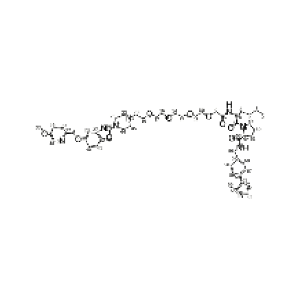 CCCC[C@H](NC(=O)COCCOCCOCCOCCN1CCN(c2nc3cc(OCc4ccc(OC)cn4)ccc3o2)CC1)C(=O)N1CCC[C@H]1C(=O)NCc1ccc(-c2scnc2C)cc1